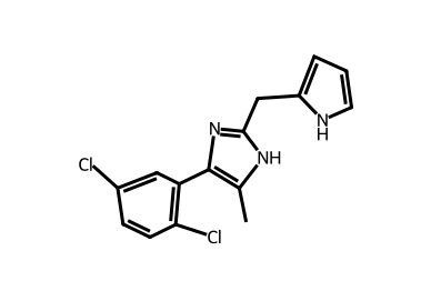 Cc1[nH]c(Cc2ccc[nH]2)nc1-c1cc(Cl)ccc1Cl